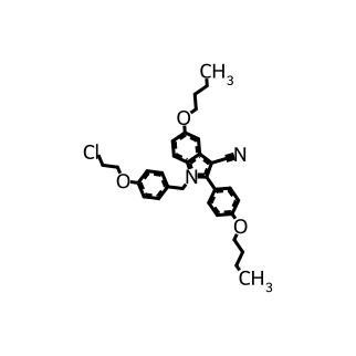 CCCCOc1ccc(-c2c(C#N)c3cc(OCCCC)ccc3n2Cc2ccc(OCCCl)cc2)cc1